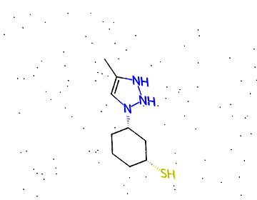 CC1=CN([C@H]2CCC[C@@H](S)C2)NN1